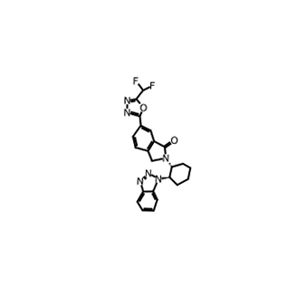 O=C1c2cc(-c3nnc(C(F)F)o3)ccc2CN1[C@@H]1CCCC[C@H]1n1nnc2ccccc21